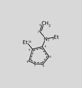 C=CN(CC)c1ccccc1CC